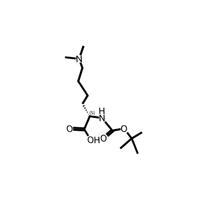 CN(C)CCCC[C@H](NC(=O)OC(C)(C)C)C(=O)O